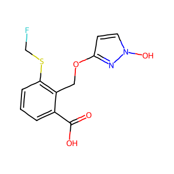 O=C(O)c1cccc(SCF)c1COc1ccn(O)n1